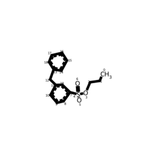 CCCOS(=O)(=O)c1cccc(Cc2ccccc2)c1